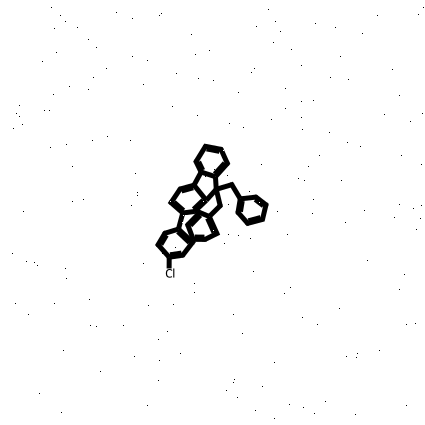 Clc1ccc(-c2ccc3c(c2)C(Cc2ccccc2)(Cc2ccccc2)c2ccccc2-3)cc1